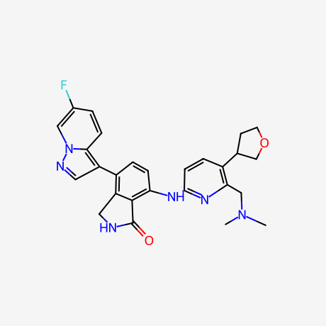 CN(C)Cc1nc(Nc2ccc(-c3cnn4cc(F)ccc34)c3c2C(=O)NC3)ccc1C1CCOC1